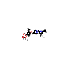 O=C(OC(=O)C(F)(F)F)c1cc(C2CC2)c(OCC2CCN(Cc3cc(C(F)(F)F)cc(C4CC4)n3)CC2)cc1F